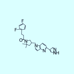 CC1(C)CC(Cn2ccc3nc(-c4cn[nH]c4)ccc32)CN1C(=O)CCc1ccc(F)cc1F